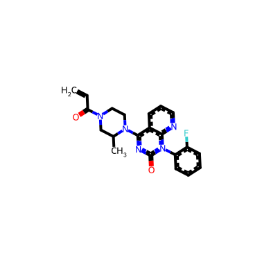 C=CC(=O)N1CCN(c2nc(=O)n(-c3ccccc3F)c3ncccc23)C(C)C1